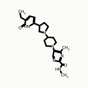 CCc1ccc(C2CCN(C3CCN(c4cnc(C(=O)NC)nc4C)CC3)C2)[nH]c1=O